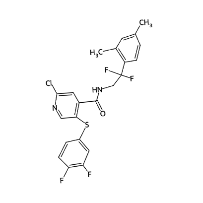 Cc1ccc(C(F)(F)CNC(=O)c2cc(Cl)ncc2Sc2ccc(F)c(F)c2)c(C)c1